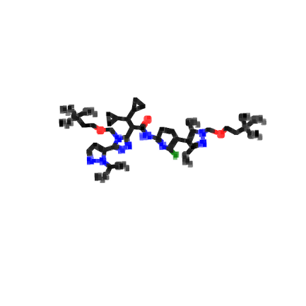 Cc1nn(COCC[Si](C)(C)C)c(C)c1-c1ccc(NC(=O)C(c2nnc(-c3ccnn3C(C)C)n2COCC[Si](C)(C)C)C(C2CC2)C2CC2)nc1F